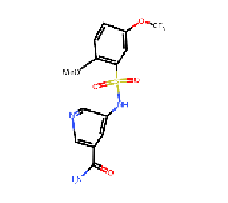 COc1ccc(OC(F)(F)F)cc1S(=O)(=O)Nc1cncc(C(N)=O)c1